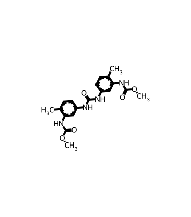 COC(=O)Nc1cc(NC(=O)Nc2ccc(C)c(NC(=O)OC)c2)ccc1C